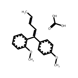 C/C=C/C=C(/c1ccc(OC)cc1)c1ccccc1OC.O=C(O)O